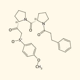 COc1ccc([S+]([O-])CC(=O)[C@@H]2CCCN2C(=O)[C@@H]2CCCN2C(=O)CCc2ccccc2)cc1